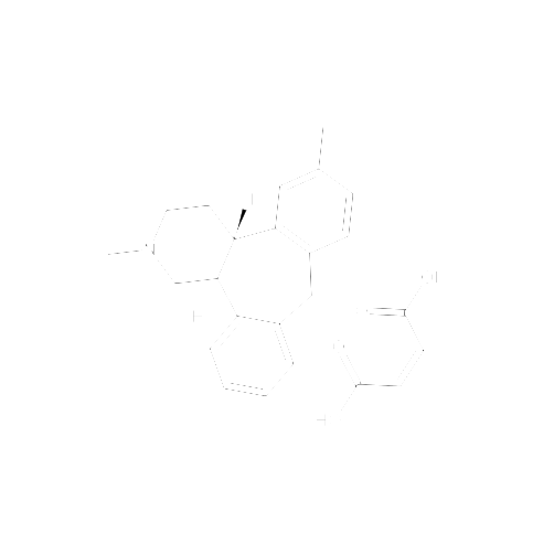 Cc1ccc2c(c1)[C@H]1CCN(C)C[C@@H]1c1ccccc1C2.O=C(O)/C=C\C(=O)O